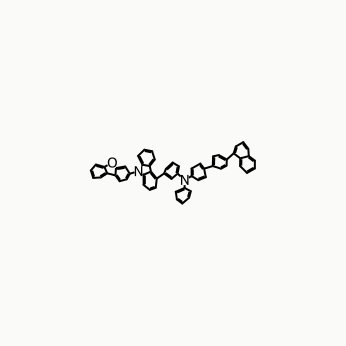 c1ccc(N(c2ccc(-c3ccc(-c4cccc5ccccc45)cc3)cc2)c2cccc(-c3cccc4c3c3ccccc3n4-c3ccc4c(c3)oc3ccccc34)c2)cc1